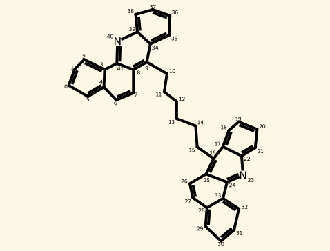 c1ccc2c(c1)ccc1c(CCCCCCc3c4ccccc4nc4c3ccc3ccccc34)c3ccccc3nc12